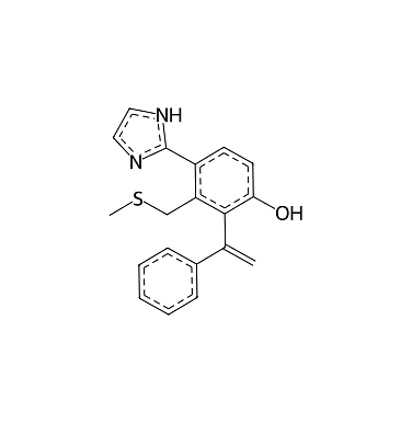 C=C(c1ccccc1)c1c(O)ccc(-c2ncc[nH]2)c1CSC